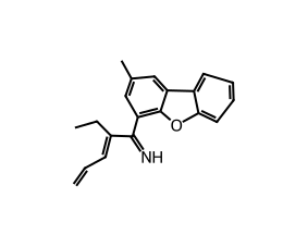 C=C/C=C(\CC)C(=N)c1cc(C)cc2c1oc1ccccc12